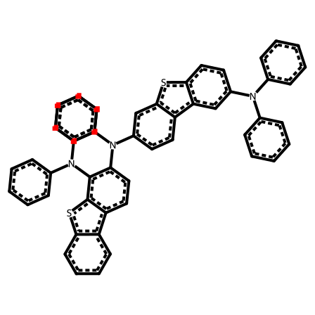 c1ccc(N(c2ccccc2)c2ccc3sc4cc(N(c5ccccc5)c5ccc6c(sc7ccccc76)c5N(c5ccccc5)c5ccccc5)ccc4c3c2)cc1